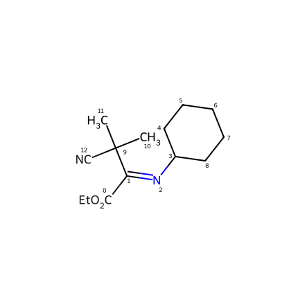 CCOC(=O)/C(=N/C1CCCCC1)C(C)(C)C#N